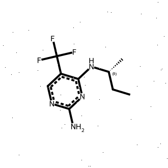 CC[C@@H](C)Nc1nc(N)ncc1C(F)(F)F